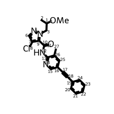 COC(C)Cn1ncc(Cl)c1C(=O)Nc1ncc(C#Cc2ccccc2)cc1C